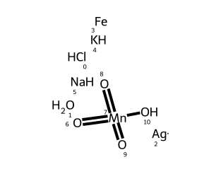 Cl.O.[Ag].[Fe].[KH].[NaH].[O]=[Mn](=[O])(=[O])[OH]